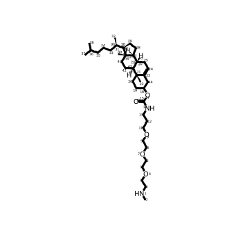 CNCCOCCOCCOCCCNC(=O)OC1CC[C@@]2(C)C(=CC[C@H]3[C@@H]4CC[C@H]([C@H](C)CCCC(C)C)[C@@]4(C)CC[C@@H]32)C1